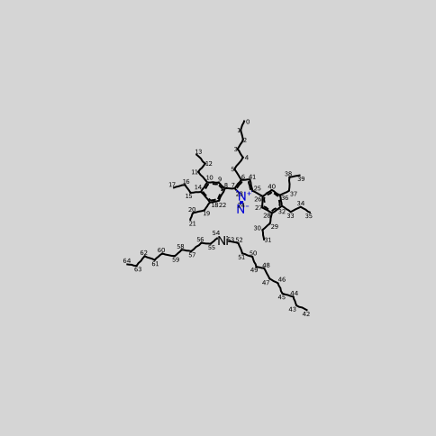 CCCCCCC1=C(c2cc(CCC)c(CCC)c(CCC)c2)[N+](=[N-])C(c2cc(CCC)c(CCC)c(CCC)c2)=C1.CCCCCCCCCC[CH2][Ni][CH2]CCCCCCCCCC